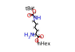 CCCCCCOC(=O)[C@@H](N)CCCCNC(=O)OC(C)(C)C